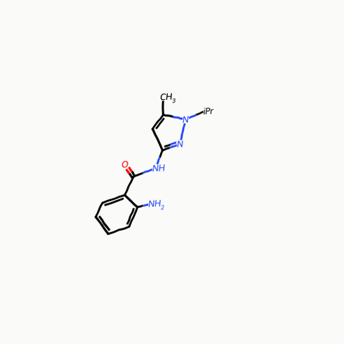 Cc1cc(NC(=O)c2ccccc2N)nn1C(C)C